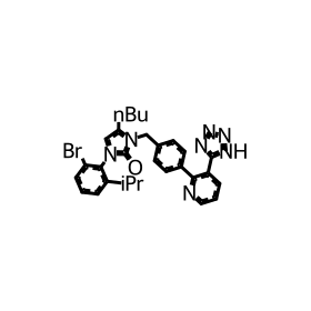 CCCCc1cn(-c2c(Br)cccc2C(C)C)c(=O)n1Cc1ccc(-c2ncccc2-c2nnn[nH]2)cc1